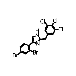 Clc1cc(Cc2nc(-c3ccc(Br)cc3Br)c[nH]2)cc(Cl)c1Cl